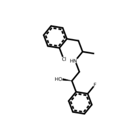 CC(Cc1ccccc1Cl)NC[C@H](O)c1ccccc1F